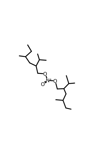 CCC(C)CC(CO[N+](=O)OCC(CC(C)CC)C(C)C)C(C)C